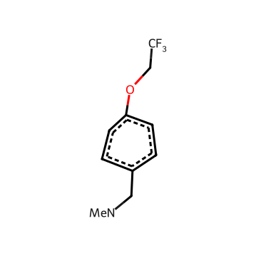 CNCc1ccc(OCC(F)(F)F)cc1